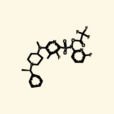 Cc1c(N(C)C2CCN([C@H](C)c3ccccc3)CC2)cnc(S(=O)(=O)N(OC(=O)C(F)(F)F)c2cccc(F)n2)c1F